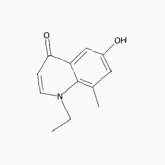 CCn1ccc(=O)c2cc(O)cc(C)c21